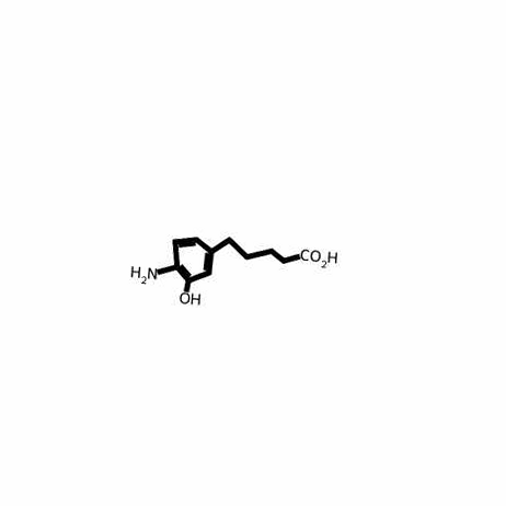 Nc1ccc(CCCCC(=O)O)cc1O